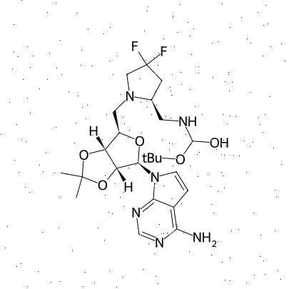 CC(C)(C)OC(O)NC[C@@H]1CC(F)(F)CN1C[C@H]1O[C@@H](n2ccc3c(N)ncnc32)[C@@H]2OC(C)(C)O[C@@H]21